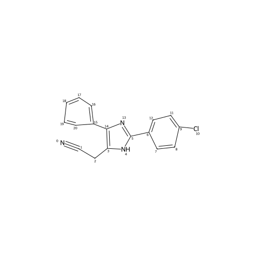 N#CCc1[nH]c(-c2ccc(Cl)cc2)nc1-c1ccccc1